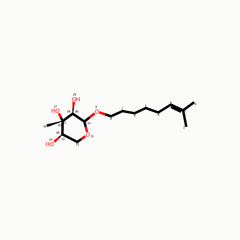 CC(C)=CCCCCCOC1OC[C@@H](O)[C@](C)(O)[C@H]1O